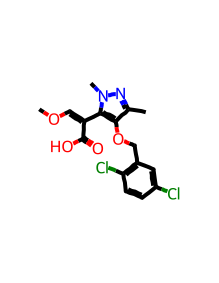 COC=C(C(=O)O)c1c(OCc2cc(Cl)ccc2Cl)c(C)nn1C